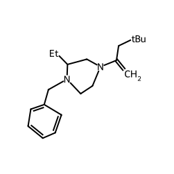 C=C(CC(C)(C)C)N1CCN(Cc2ccccc2)C(CC)C1